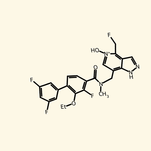 CCOc1c(-c2cc(F)cc(F)c2)ccc(C(=O)N(C)Cc2c[n+](O)c(CF)c3cn[nH]c23)c1F